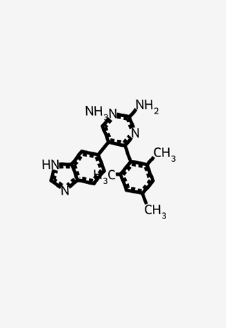 Cc1cc(C)c(-c2nc(N)ncc2-c2ccc3nc[nH]c3c2)c(C)c1.N